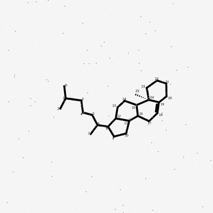 CC(C)CCCC(C)C1CCC2C1CCC1C2CC=C2CCCC[C@@]21C